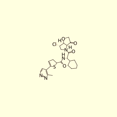 Cc1nnccc1C1=CCC(C(=O)N[C@H](C(=O)N2C[C@H](Cl)[C@H]3OCC(=O)[C@H]32)C2CCCCC2)S1